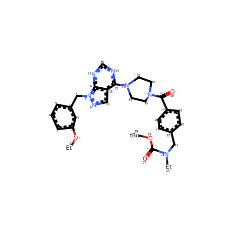 CCOc1cccc(Cn2ncc3c(N4CCN(C(=O)c5ccc(CN(CC)C(=O)OC(C)(C)C)cc5)CC4)ncnc32)c1